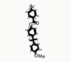 COc1ccc(C(C)(C)c2ccc(OC(=O)c3ccc(C(C)=O)cc3)cc2)cc1